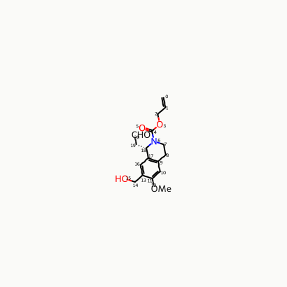 C=CCOC(=O)N1CCc2cc(OC)c(CO)cc2[C@@H]1CC=O